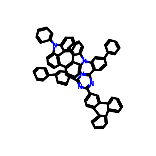 c1ccc(-c2ccc(-c3nc(-c4ccc5c6ccccc6c6ccccc6c5c4)nc(-c4ccc(-c5ccccc5)cc4-n4c5ccccc5c5c(-c6cccc7c6c6ccccc6n7-c6ccccc6)cccc54)n3)cc2)cc1